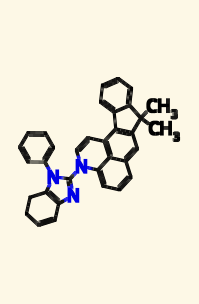 CC1(C)c2ccccc2-c2c1cc1cccc3c1c2C=CN3c1nc2c(n1-c1ccccc1)CCC=C2